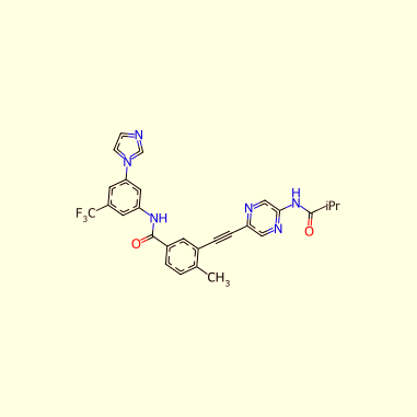 Cc1ccc(C(=O)Nc2cc(-n3ccnc3)cc(C(F)(F)F)c2)cc1C#Cc1cnc(NC(=O)C(C)C)cn1